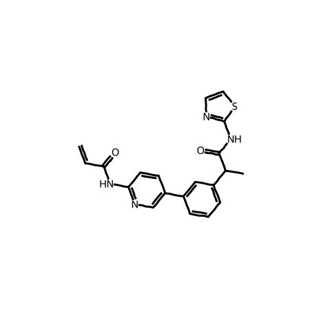 C=CC(=O)Nc1ccc(-c2cccc(C(C)C(=O)Nc3nccs3)c2)cn1